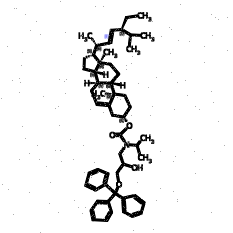 CC[C@H](/C=C/[C@@H](C)[C@H]1CC[C@H]2[C@@H]3CC=C4C[C@@H](OC(=O)N(CC(O)COC(c5ccccc5)(c5ccccc5)c5ccccc5)C(C)C)CC[C@]4(C)[C@H]3CC[C@]12C)C(C)C